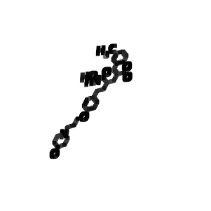 Cc1ccc2oc(=O)c(CC(CCc3ccc(OCCCN4CCC(=O)CC4)cc3)C(=O)NO)cc2c1